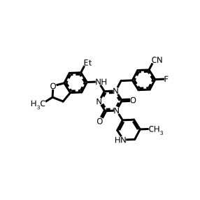 CCc1cc2c(cc1Nc1nc(=O)n(C3=CNCC(C)=C3)c(=O)n1Cc1ccc(F)c(C#N)c1)CC(C)O2